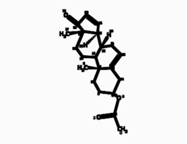 CC(=O)O[C@H]1CC[C@@]2(C)C(=CC[C@@H]3C2CC[C@]2(C)C(=O)C=C[C@@H]32)C1